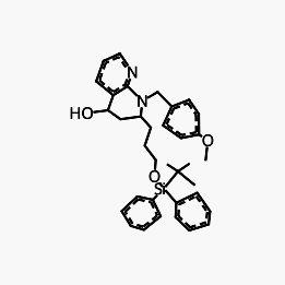 COc1ccc(CN2c3ncccc3C(O)CC2CCCO[Si](c2ccccc2)(c2ccccc2)C(C)(C)C)cc1